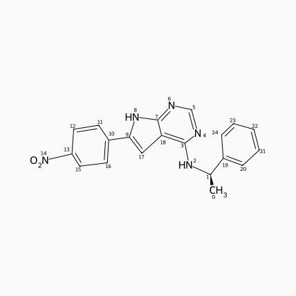 C[C@@H](Nc1ncnc2[nH]c(-c3ccc([N+](=O)[O-])cc3)cc12)c1ccccc1